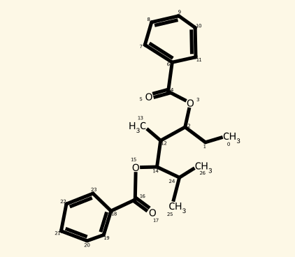 CCC(OC(=O)c1ccccc1)C(C)C(OC(=O)c1ccccc1)C(C)C